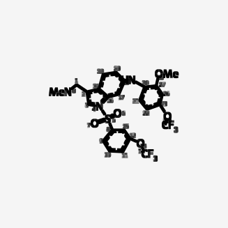 CNCc1cn(S(=O)(=O)c2cccc(OC(F)(F)F)c2)c2cc(Nc3ccc(OC(F)(F)F)cc3OC)ccc12